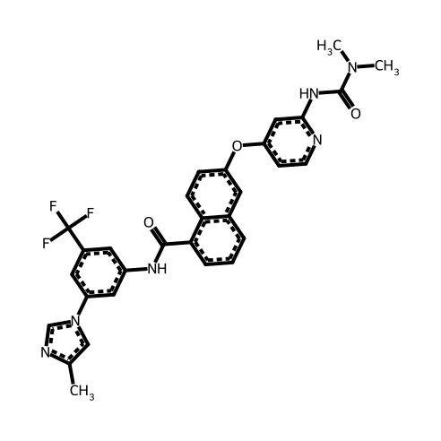 Cc1cn(-c2cc(NC(=O)c3cccc4cc(Oc5ccnc(NC(=O)N(C)C)c5)ccc34)cc(C(F)(F)F)c2)cn1